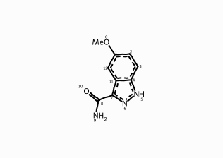 COc1ccc2[nH]nc(C(N)=O)c2c1